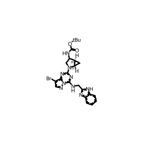 CC(C)(C)OC(=O)NC1CN(c2nc(NCc3nc4ccccc4[nH]3)n3ncc(Br)c3n2)[C@H]2C[C@H]12